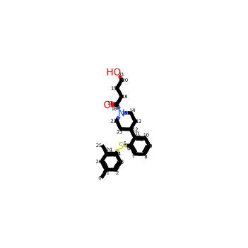 Cc1ccc(Sc2ccccc2C2CCN(C(=O)CCCO)CC2)c(C)c1